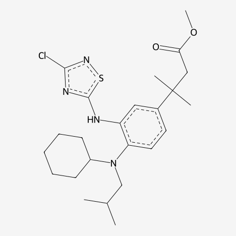 COC(=O)CC(C)(C)c1ccc(N(CC(C)C)C2CCCCC2)c(Nc2nc(Cl)ns2)c1